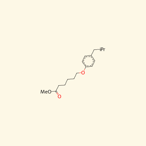 COC(=O)CCCCCOc1ccc(CC(C)C)cc1